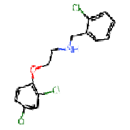 Clc1ccc(OCCNCc2ccccc2Cl)c(Cl)c1